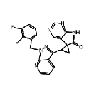 O=C1Nc2ncncc2C12CC2c1nn(Cc2cccc(F)c2F)c2ncccc12